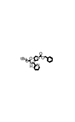 CC(C)(C)OC(=O)NC(c1ccccn1)[C@@H]1CCN(C(=O)OCc2ccccc2)C1